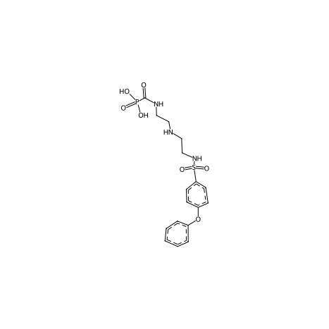 O=C(NCCNCCNS(=O)(=O)c1ccc(Oc2ccccc2)cc1)P(=O)(O)O